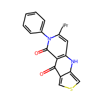 CC(C)c1cc2[nH]c3cscc3c(=O)c2c(=O)n1-c1ccccc1